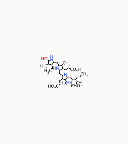 C=CCC(C)C(CC1=NC(CC2NC(CC3NC(O)C(C)C3C=C)C(C)C2CCC(=O)O)C(CCC(=O)O)C1C)NC=O